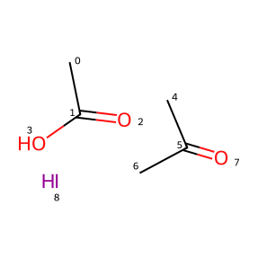 CC(=O)O.CC(C)=O.I